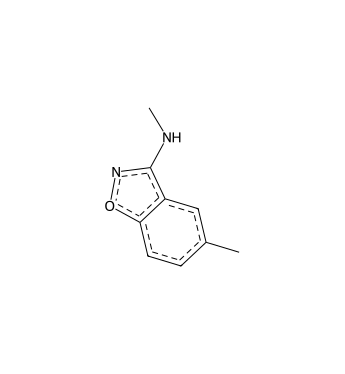 CNc1noc2ccc(C)cc12